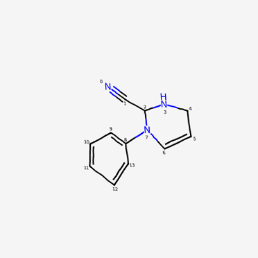 N#CC1NCC=CN1c1ccccc1